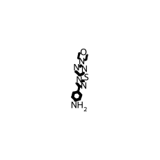 Nc1ccc(-c2cn3c(n2)sc2nc(N4CCOCC4)ncc23)cc1